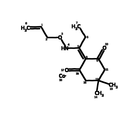 C=CCONC(CC)=C1C(=O)CC(C)(C)CC1=O.[Co]